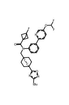 CC(C)(C)c1noc(C23CCC(CN(C(=O)C45CC(F)(C4)C5)c4cccc(-c5ccc(OC(F)F)cn5)c4)(CC2)CC3)n1